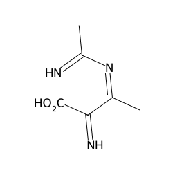 CC(=N)/N=C(/C)C(=N)C(=O)O